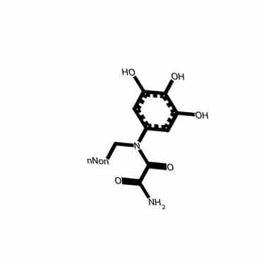 CCCCCCCCCCN(C(=O)C(N)=O)c1cc(O)c(O)c(O)c1